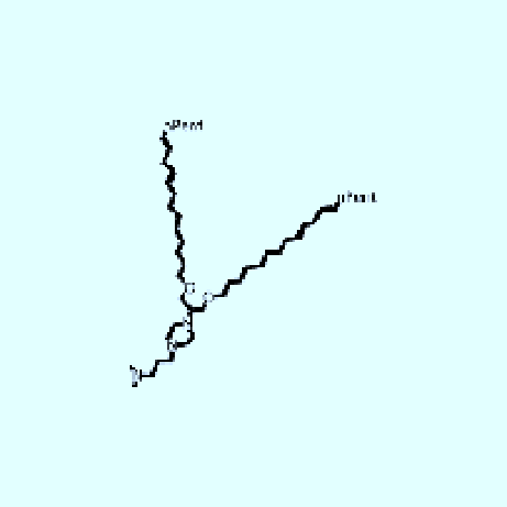 CCCCCC=CCC=CCCCCCCCCOCC(COCCCCCCCCC=CCC=CCCCCC)N1CCN(CCCN(C)C)CC1